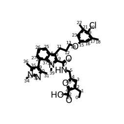 CCc1cc(CNC(=O)c2c(CCCOc3cc(C)c(Cl)c(C)c3)c3cccc(-c4c(C)nn(C)c4C)c3n2C)oc1C(=O)O